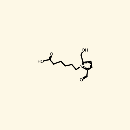 O=Cc1ccc(CO)n1CCCCCC(=O)O